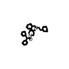 O=C(C(c1ccccc1)c1ccccc1)N1CCC2(CC1)CN(CCc1ccccc1)Cc1ccccc12